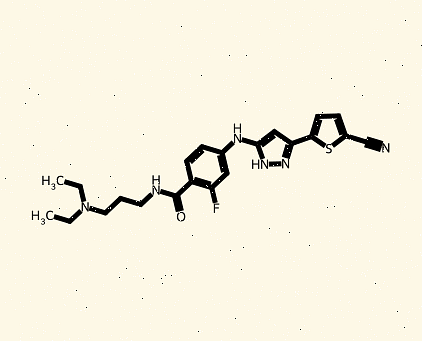 CCN(CC)CCCNC(=O)c1ccc(Nc2cc(-c3ccc(C#N)s3)n[nH]2)cc1F